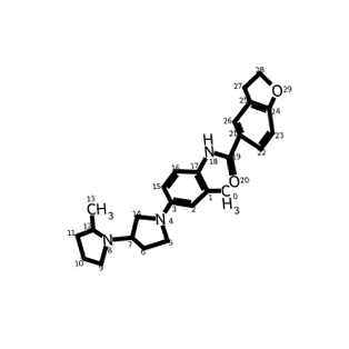 Cc1cc(N2CCC(N3CCCC3C)C2)ccc1NC(=O)c1ccc2c(c1)CCO2